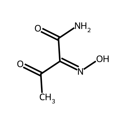 CC(=O)C(=NO)C(N)=O